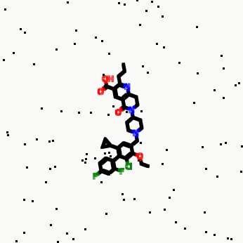 CCCc1nc2c(cc1C(=O)O)C(=O)N(C1CCN(Cc3cc(C4CC4)c(-c4ccc(F)cc4F)c(Cl)c3OCC)CC1)CC2